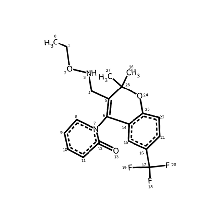 CCONCC1=C(n2ccccc2=O)c2cc(C(F)(F)F)ccc2OC1(C)C